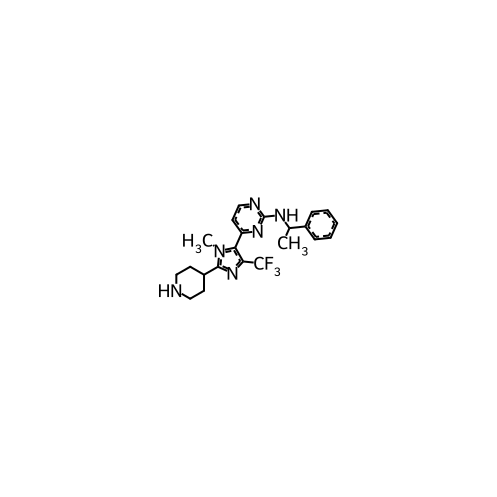 CC(Nc1nccc(-c2c(C(F)(F)F)nc(C3CCNCC3)n2C)n1)c1ccccc1